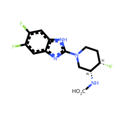 O=C(O)N[C@@H]1CN(c2nc3cc(F)c(F)cc3[nH]2)CC[C@@H]1F